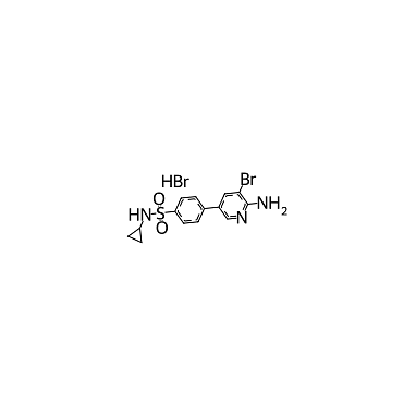 Br.Nc1ncc(-c2ccc(S(=O)(=O)NC3CC3)cc2)cc1Br